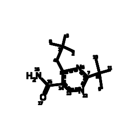 CC(C)(C)Cc1nc(C(C)(C)C)ncc1C(N)=O